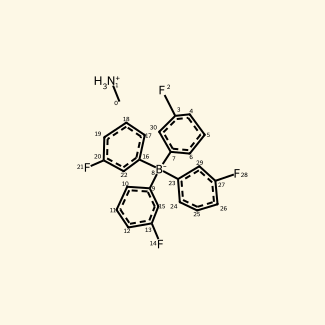 C[NH3+].Fc1cccc([B-](c2cccc(F)c2)(c2cccc(F)c2)c2cccc(F)c2)c1